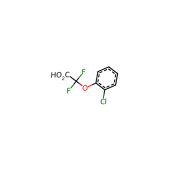 O=C(O)C(F)(F)Oc1ccccc1Cl